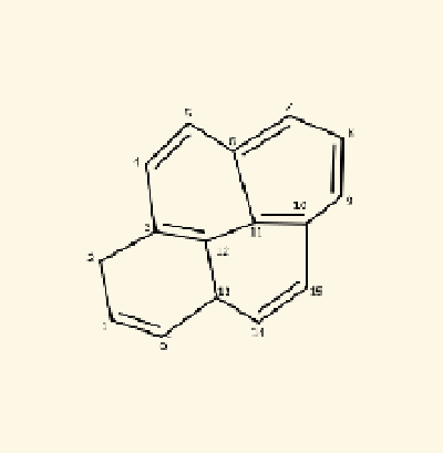 [C]1=CCc2ccc3cccc4c3c2C1C=C4